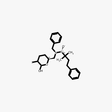 CC(C)(CCc1ccccc1)[S@@+]([O-])N(Cc1ccccc1)C[C@@H]1CCC(I)C(O)O1